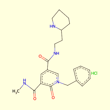 CNC(=O)c1cc(C(=O)NCCC2CCCCN2)cn(Cc2ccccc2)c1=O.Cl